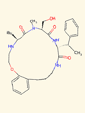 CCC(C)[C@@H]1NCCOc2ccccc2CCCNC(=O)[C@@H](C(C)c2ccccc2)NC(=O)[C@H](CO)N(C)C1=O